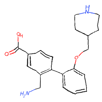 NCc1cc(C(=O)O)ccc1-c1ccccc1OCC1CCNCC1